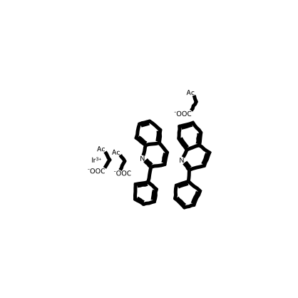 CC(=O)CC(=O)[O-].CC(=O)CC(=O)[O-].CC(=O)CC(=O)[O-].[Ir+3].c1ccc(-c2ccc3ccccc3n2)cc1.c1ccc(-c2ccc3ccccc3n2)cc1